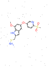 COc1cc(Oc2ccc(S(C)(=O)=O)nc2)cc2cc(CSN)[nH]c12